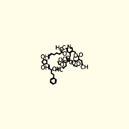 C#CCC(C(=O)OCc1cnc(C)c(OC(=O)CCC/C=C\C[C@@H]2[C@@H](CC[C@@H](O)CCc3ccccc3)[C@H](O)C[C@@H]2O)c1COC(=O)C(CC#C)C1(C)OCCO1)C1(C)OCCO1